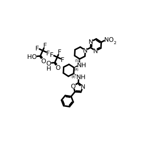 O=C(O)C(F)(F)F.O=C(O)C(F)(F)F.O=[N+]([O-])c1cnc(N2CCC[C@H](N[C@@H]3CCCC[C@H]3Nc3ncc(-c4ccccc4)o3)C2)nc1